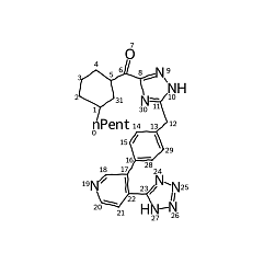 CCCCCC1CCCC(C(=O)c2n[nH]c(Cc3ccc(-c4cnccc4-c4nnn[nH]4)cc3)n2)C1